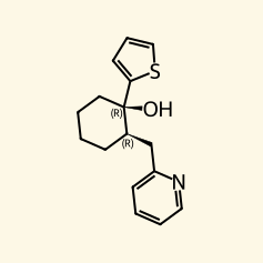 O[C@]1(c2cccs2)CCCC[C@@H]1Cc1ccccn1